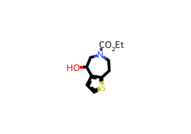 CCOC(=O)N1CCc2sccc2C(O)C1